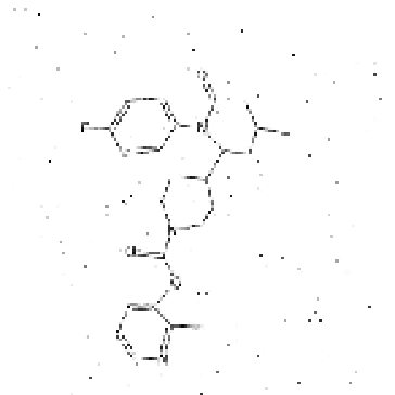 Cc1ncccc1OC(=O)N1CCC(C(CC(C)C)N(C=O)c2ccc(F)cc2)CC1